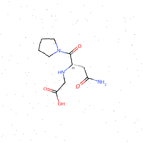 NC(=O)C[C@H](NCC(=O)O)C(=O)N1CCCC1